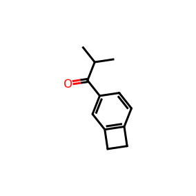 CC(C)C(=O)c1ccc2c(c1)CC2